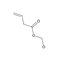 C=CCC(=O)OC[O]